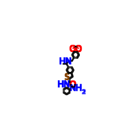 CC(NCc1ccc2c(c1)OCO2)c1ccc2cc(C(=O)Nc3ccccc3N)sc2c1